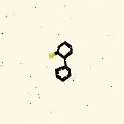 S=C1CC=CC=C1c1ccccc1